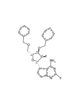 Nc1nc(F)nn2ccc([C@@H]3O[C@H](COCc4ccccc4)[C@@H](OCc4ccccc4)[C@H]3F)c12